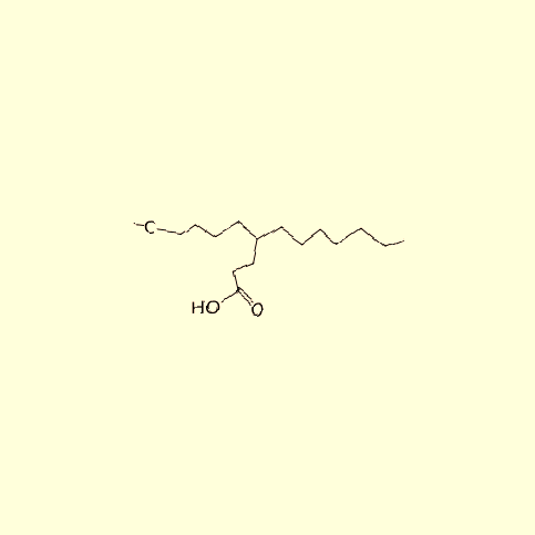 CCCCCCCC(CCCCCC)CCC(=O)O